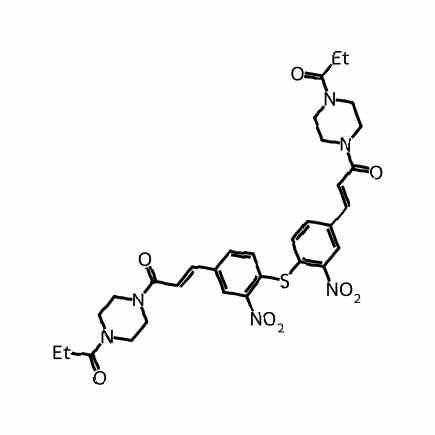 CCC(=O)N1CCN(C(=O)/C=C/c2ccc(Sc3ccc(/C=C/C(=O)N4CCN(C(=O)CC)CC4)cc3[N+](=O)[O-])c([N+](=O)[O-])c2)CC1